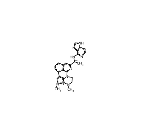 C[C@H](Nc1ncnc2[nH]cnc12)c1cc2cccc(-c3cnn(C)c3)c2c(N2CCN(C)CC2)n1